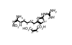 N=C(N)Nc1nc(CSCCN/C(N)=N\[N+](=O)[O-])cs1.O=C(O)/C=C\C(=O)O